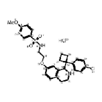 COc1ccc(S(=O)(=O)NCCOc2ccc3c(c2)C(C2(c4ccc(Cl)cc4)CCC2)NCC3)cn1.Cl